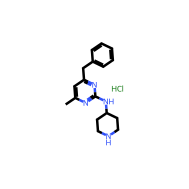 Cc1cc(Cc2ccccc2)nc(NC2CCNCC2)n1.Cl